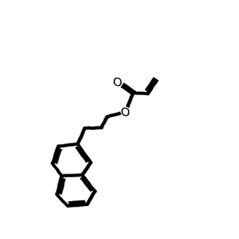 C=CC(=O)OCCCc1ccc2ccccc2c1